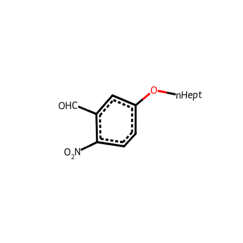 CCCCCCCOc1ccc([N+](=O)[O-])c(C=O)c1